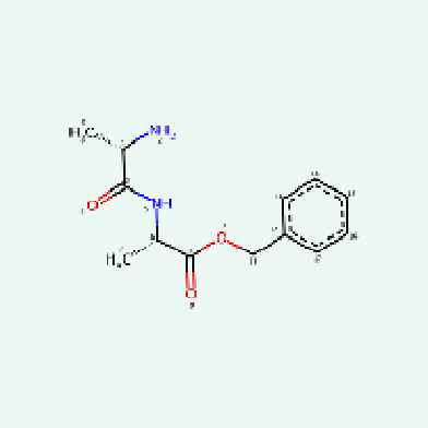 C[C@H](N)C(=O)N[C@@H](C)C(=O)OCc1ccccc1